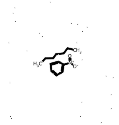 CCCCCCC.O=[N+]([O-])c1ccccc1